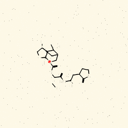 CC(C)C[C@H](NC(=O)O[C@H]1C2CO[C@H]3OC[C@@H]1C3[C@H]2C)C(=O)N[C@H](C=O)CC1CCNC1=O